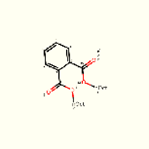 CCCCCCCCOC(=O)c1ccccc1C(=O)OCCCCCCCC.[V]